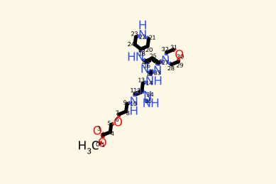 COC(=O)CCOCCCN/C=C(/CNc1nc(NC2CCNCC2)cc(N2CCOCC2)n1)N=N